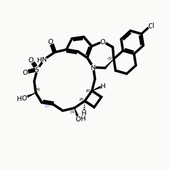 O=C1NS(=O)(=O)C[C@H](O)/C=C/C[C@H](O)[C@@H]2CC[C@H]2CN2C[C@@]3(CCCc4cc(Cl)ccc43)COc3ccc1cc32